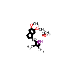 COc1cc2c(cc1OC)[CH]([Ti+2][c]1[pH]cc(C)c1C)C=C2.C[O-].C[O-]